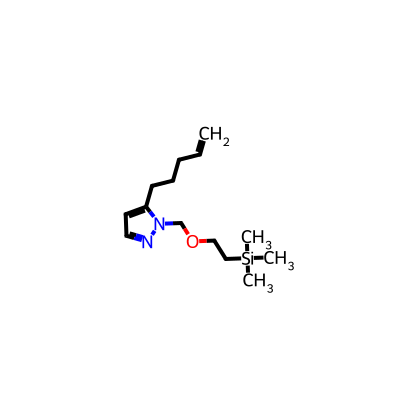 C=CCCCc1ccnn1COCC[Si](C)(C)C